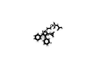 CC(C)C[Si](C)(C)OCCn1nc(-c2ccccc2)c(-c2ccccc2)c1C1CC1